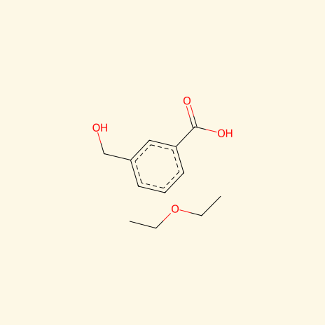 CCOCC.O=C(O)c1cccc(CO)c1